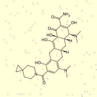 CN(C)c1cc(C(=O)N2CCC3(CC2)CC3)c(O)c2c1C[C@H]1C[C@H]3[C@H](N(C)C)C(O)=C(C(N)=O)C(=O)[C@@]3(O)C(O)=C1C2